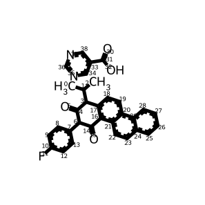 CC(C)C1C(=O)C(c2ccc(F)cc2)C(=O)c2c1ccc1c2ccc2ccccc21.O=C(O)c1cncnc1